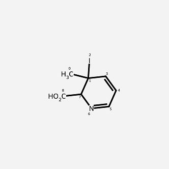 CC1(I)C=CC=NC1C(=O)O